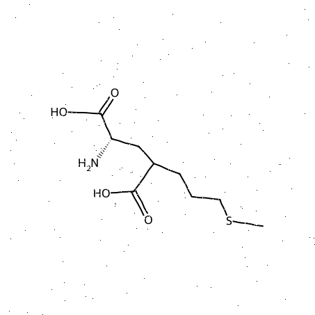 CSCCCC(C[C@H](N)C(=O)O)C(=O)O